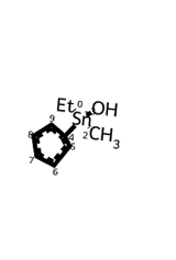 C[CH2][Sn]([CH3])([OH])[c]1ccccc1